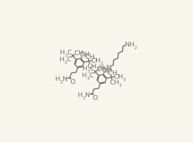 CC(C)(C)c1cc(CCC(N)=O)cc(C(C)(C)C)c1O.CC(C)(C)c1cc(CCC(N)=O)cc(C(C)(C)C)c1O.NCCCCCCN